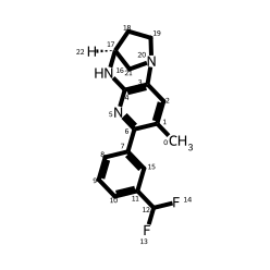 Cc1cc2c(nc1-c1cccc(C(F)F)c1)N[C@H]1CCN2C1